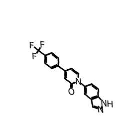 O=c1cc(-c2ccc(C(F)(F)F)cc2)ccn1-c1ccc2[nH]ncc2c1